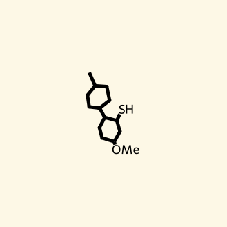 COC1CCC(C2CCC(C)CC2)C(S)C1